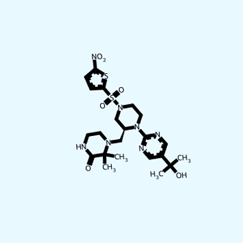 CC(C)(O)c1cnc(N2CCN(S(=O)(=O)c3ccc([N+](=O)[O-])s3)C[C@@H]2CN2CCNC(=O)C2(C)C)nc1